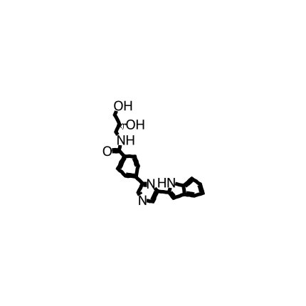 O=C(NC[C@@H](O)CO)c1ccc(-c2cncc(-c3cc4ccccc4[nH]3)n2)cc1